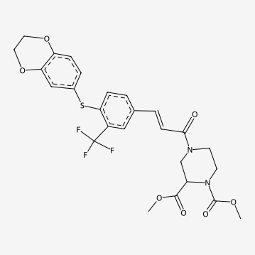 COC(=O)C1CN(C(=O)C=Cc2ccc(Sc3ccc4c(c3)OCCO4)c(C(F)(F)F)c2)CCN1C(=O)OC